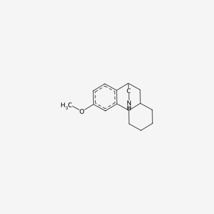 COc1ccc2c(c1)C13CCCCC1CC2CN3